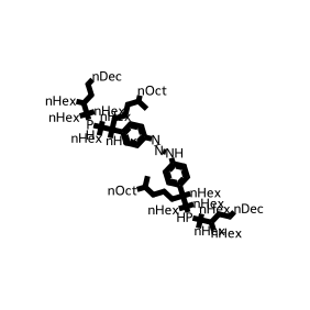 CCCCCCCCCCCCC(CCCCCC)C(CCCCCC)(CCCCCC)PC(CCCCCC)(CCCCCC)C(CCCCCC)(CCCC(C)CCCCCCCC)c1ccc(N=NNc2ccc(C(CCCCCC)(CCCC(C)CCCCCCCC)C(CCCCCC)(CCCCCC)PC(CCCCCC)(CCCCCC)C(CCCCCC)CCCCCCCCCCCC)cc2)cc1